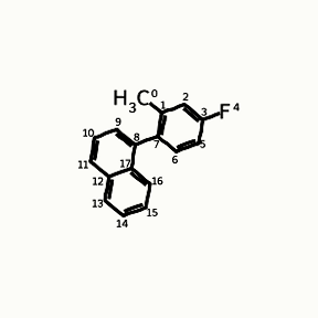 Cc1cc(F)ccc1-c1cccc2ccccc12